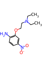 CCN(CC)CCOc1cc([N+](=O)[O-])ccc1N